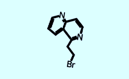 BrCCc1nccc2ncccc12